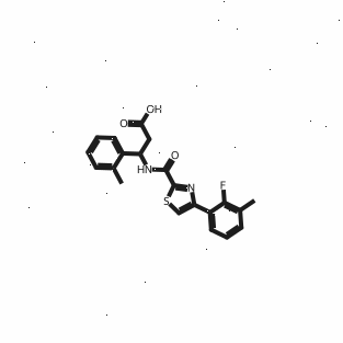 Cc1ccccc1C(CC(=O)O)NC(=O)c1nc(-c2cccc(C)c2F)cs1